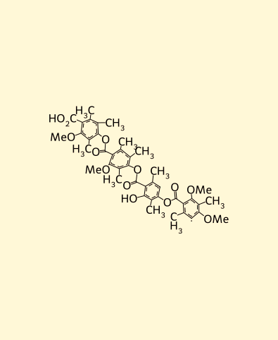 COc1[c]c(C)c(C(=O)Oc2cc(C)c(C(=O)Oc3c(C)c(C)c(C(=O)Oc4c(C)c(C)c(C(=O)O)c(OC)c4C)c(OC)c3C)c(O)c2C)c(OC)c1C